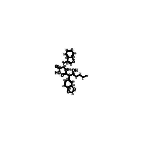 CCCCC(O)C(C(=O)N[C@@H](Cc1csc2ccccc12)C(=O)O)c1ccc2c(c1)OCO2